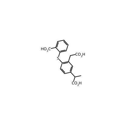 CC(C(=O)O)c1ccc(Sc2ccccc2C(=O)O)c(CC(=O)O)c1